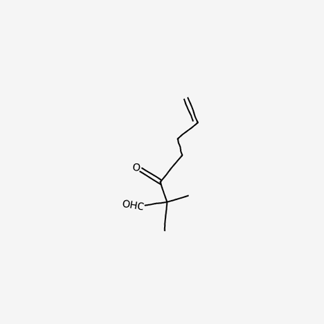 C=CCCC(=O)C(C)(C)C=O